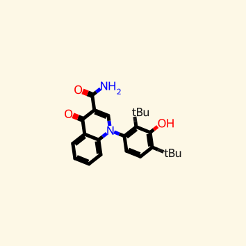 CC(C)(C)c1ccc(-n2cc(C(N)=O)c(=O)c3ccccc32)c(C(C)(C)C)c1O